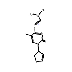 CN(C)/C=N/c1nc(=O)n(C2C=CSC2)cc1F